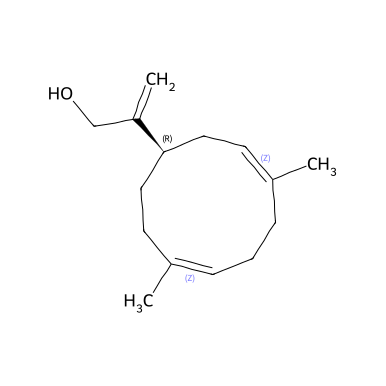 C=C(CO)[C@H]1C/C=C(/C)CC/C=C(/C)CC1